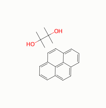 CC(C)(O)C(C)(C)O.c1cc2ccc3cccc4ccc(c1)c2c34